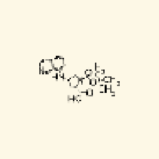 CC(C)(C)OC(=O)N1C[C@@H](Nc2cccc3ccncc23)C[C@H]1C(=O)O